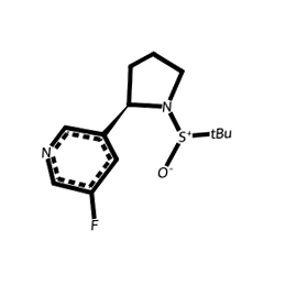 CC(C)(C)[S+]([O-])N1CCC[C@@H]1c1cncc(F)c1